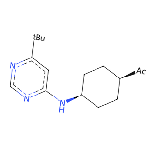 CC(=O)[C@H]1CC[C@@H](Nc2cc(C(C)(C)C)ncn2)CC1